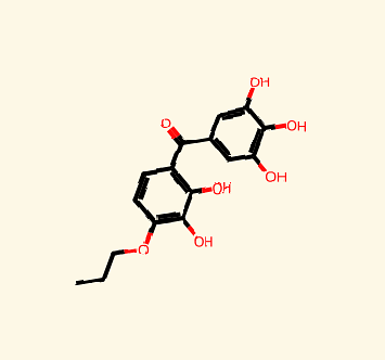 CCCOc1ccc(C(=O)c2cc(O)c(O)c(O)c2)c(O)c1O